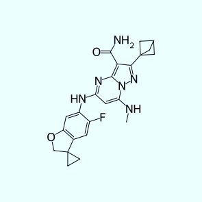 CNc1cc(Nc2cc3c(cc2F)C2(CC2)CO3)nc2c(C(N)=O)c(C34CC(C3)C4)nn12